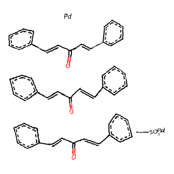 CS(=O)(=O)O.O=C(C=Cc1ccccc1)C=Cc1ccccc1.O=C(C=Cc1ccccc1)C=Cc1ccccc1.O=C(C=Cc1ccccc1)C=Cc1ccccc1.[Pd].[Pd]